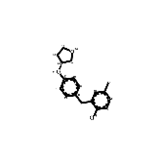 Cc1ccc(Cl)c(Cc2ccc(O[C@H]3CCOC3)cc2)c1